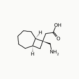 NC[C@@]1(CC(=O)O)C[C@H]2CCCCC[C@H]21